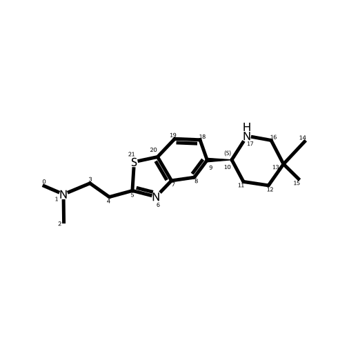 CN(C)CCc1nc2cc([C@@H]3CCC(C)(C)CN3)ccc2s1